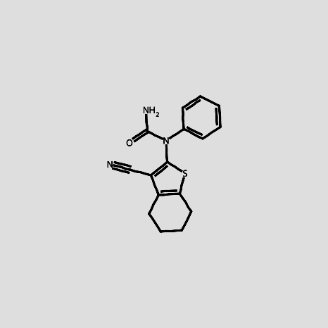 N#Cc1c(N(C(N)=O)c2ccccc2)sc2c1CCCC2